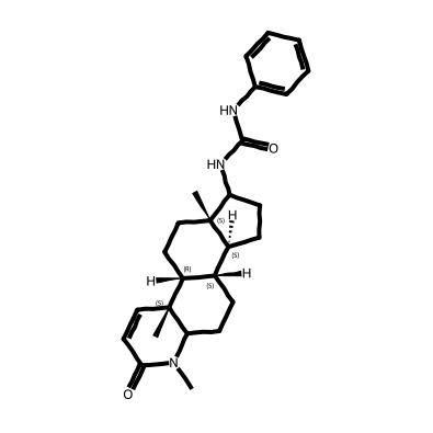 CN1C(=O)C=C[C@@]2(C)C1CC[C@@H]1[C@H]2CC[C@]2(C)C(NC(=O)Nc3ccccc3)CC[C@@H]12